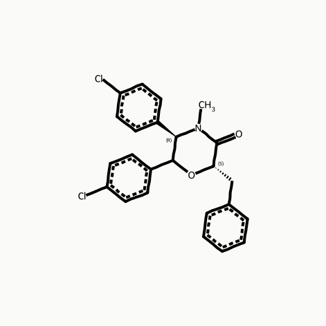 CN1C(=O)[C@H](Cc2ccccc2)OC(c2ccc(Cl)cc2)[C@H]1c1ccc(Cl)cc1